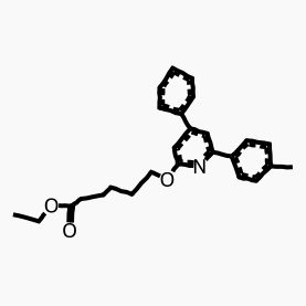 CCOC(=O)CCCCCOc1cc(-c2ccccc2)cc(-c2ccc(C)cc2)n1